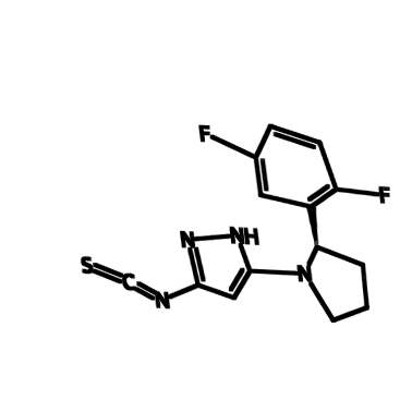 Fc1ccc(F)c([C@H]2CCCN2c2cc(N=C=S)n[nH]2)c1